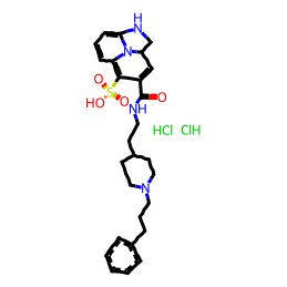 Cl.Cl.O=C(NCCC1CCN(CCCc2ccccc2)CC1)C1=CC2CNC3=CC=CC(=C1S(=O)(=O)O)N32